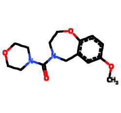 COc1ccc2c(c1)CN(C(=O)N1CCOCC1)CCO2